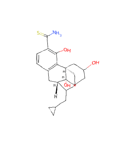 NC(=S)c1ccc2c(c1O)[C@]13CCC(CC4CC4)[C@H](C2)[C@]1(O)CCC(O)C3